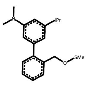 CSOCc1ccccc1-c1cc(C(C)C)cc(N(C)C)c1